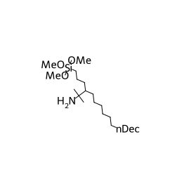 CCCCCCCCCCCCCCCCC(CCC[Si](OC)(OC)OC)C(C)(C)N